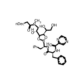 CCCCCCCCCCCC(=O)N(C)C[C@@H](O)C1OB([C@H](CC(C)C)NC(=O)[C@H](Cc2ccccc2)NC(=O)c2cnccn2)O[C@@H]1C(O)CO